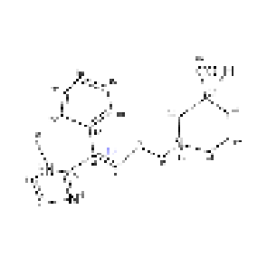 Cn1ccnc1/C(=C/CCN1CCCC(C(=O)O)C1)c1ccccc1